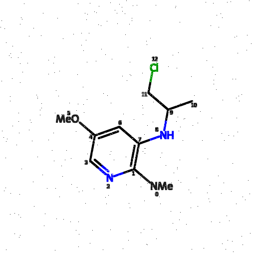 CNc1ncc(OC)cc1NC(C)CCl